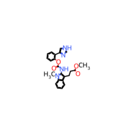 COC(=O)CCc1c(NC(=O)Oc2ccccc2-c2c[nH]cn2)n(C)c2ccccc12